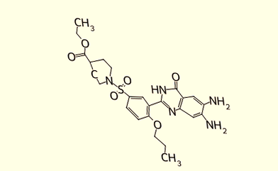 CCCOc1ccc(S(=O)(=O)N2CCC(C(=O)OCC)CC2)cc1-c1nc2cc(N)c(N)cc2c(=O)[nH]1